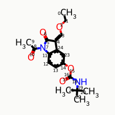 CCOC=C1C(=O)N(C(C)=O)c2ccc(OC(=O)NC(C)(C)C)cc21